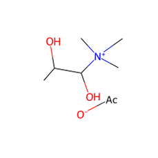 CC(=O)[O-].CC(O)C(O)[N+](C)(C)C